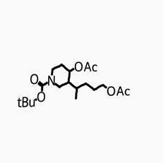 CC(=O)OCCCC(C)C1CN(C(=O)OC(C)(C)C)CCC1OC(C)=O